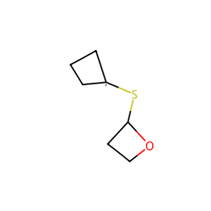 C1C[C](SC2CCO2)C1